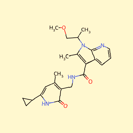 COCC(C)n1c(C)c(C(=O)NCc2c(C)cc(C3CC3)[nH]c2=O)c2cccnc21